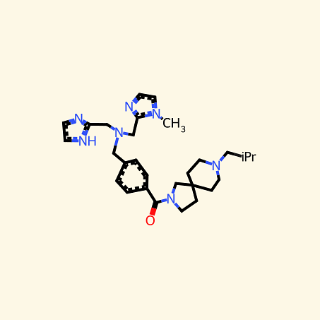 CC(C)CN1CCC2(CC1)CCN(C(=O)c1ccc(CN(Cc3ncc[nH]3)Cc3nccn3C)cc1)C2